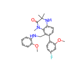 COc1ccccc1NCc1c(-c2ccc(F)cc2OC)ccc2c1N(C)C(=O)C(C)(C)N2